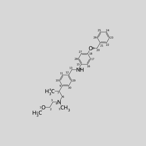 COCCN(C)CC(C)c1ccc(CNc2ccc(OCc3ccccc3)cc2)cc1